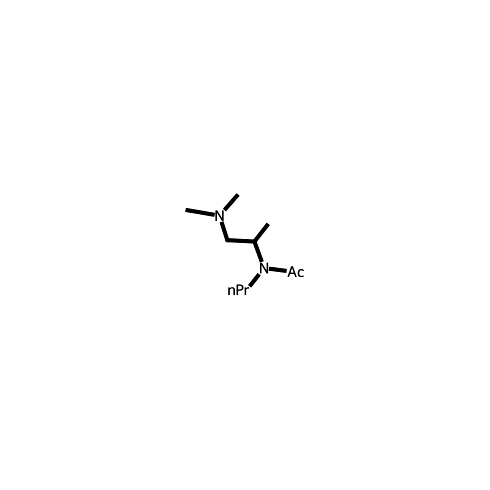 CCCN(C(C)=O)C(C)CN(C)C